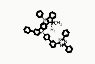 CC1(C)c2ccccc2-c2c1c1cc3c(cc1n2-c1ccccc1)c1cc(-c2ccccc2)ccc1n3-c1ccc(-c2cccc(-c3nc(-c4ccccc4)nc(-c4ccccc4)n3)c2)cc1